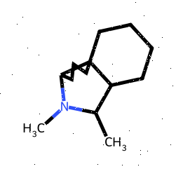 CC1C2CCCCC23CCCC3N1C